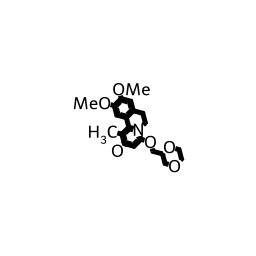 COc1cc2c(cc1OC)-c1c(C)c(=O)cc(OCC3COCCO3)n1CC2